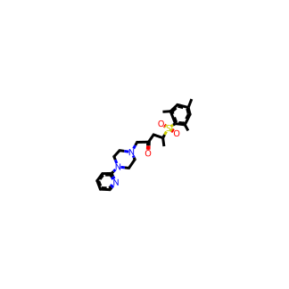 Cc1cc(C)c(S(=O)(=O)C(C)CC(=O)CN2CCN(c3ccccn3)CC2)c(C)c1